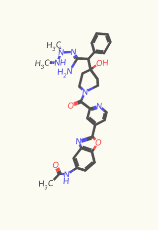 CNN(C)/N=C(\N)C(c1ccccc1)C1(O)CCN(C(=O)c2cc(-c3nc4cc(NC(C)=O)ccc4o3)ccn2)CC1